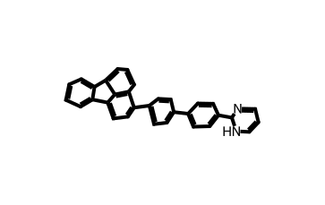 C1=CNC(c2ccc(-c3ccc(-c4ccc5c6c(cccc46)-c4ccccc4-5)cc3)cc2)N=C1